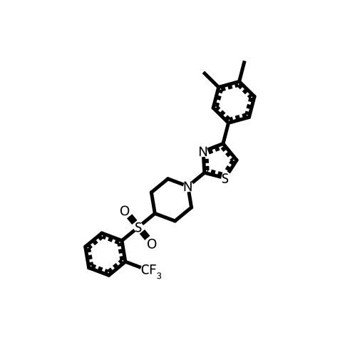 Cc1ccc(-c2csc(N3CCC(S(=O)(=O)c4ccccc4C(F)(F)F)CC3)n2)cc1C